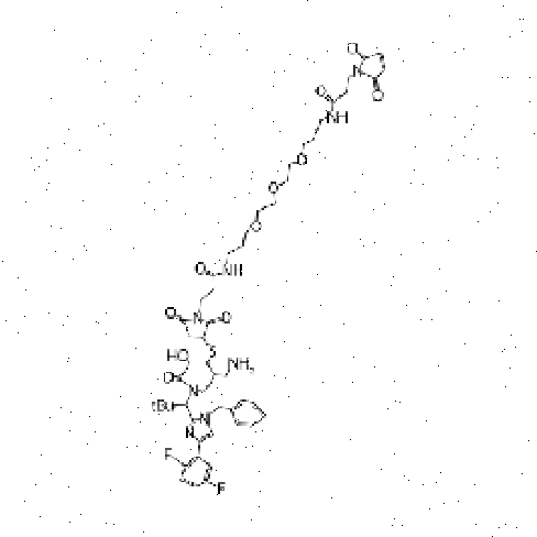 CC(C)(C)[C@H](c1nc(-c2cc(F)ccc2F)cn1Cc1ccccc1)N(CC(CN)CSC1CC(=O)N(CCC(=O)NCCCOCCOCCOCCCNC(=O)CCN2C(=O)C=CC2=O)C1=O)C(=O)CO